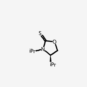 CC(C)[C@@H]1COC(=S)N1C(C)C